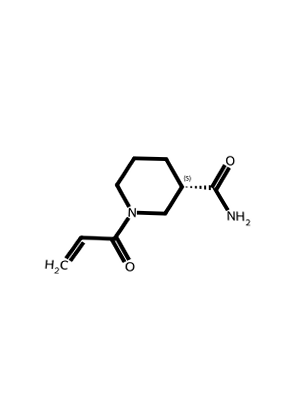 C=CC(=O)N1CCC[C@H](C(N)=O)C1